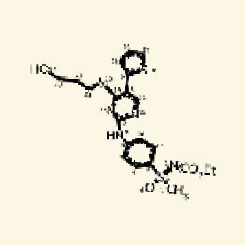 CCOC(=O)N=S(C)(=O)c1ccc(Nc2ncc(-c3cccs3)c(SCCCO)n2)cc1